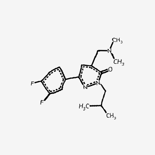 CC(C)Cn1nc(-c2ccc(F)c(F)c2)cc(CN(C)C)c1=O